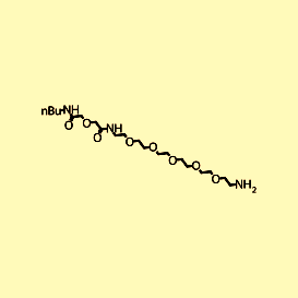 CCCCNC(=O)COCC(=O)NCCOCCOCCOCCOCCOCCN